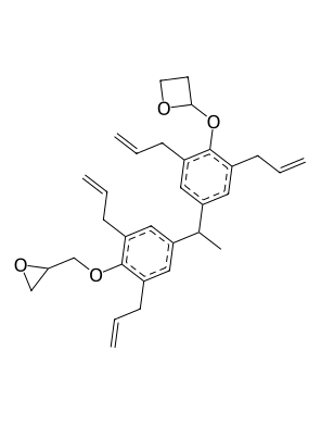 C=CCc1cc(C(C)c2cc(CC=C)c(OC3CCO3)c(CC=C)c2)cc(CC=C)c1OCC1CO1